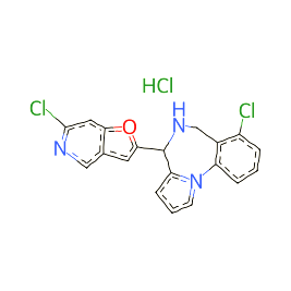 Cl.Clc1cc2oc(C3NCc4c(Cl)cccc4-n4cccc43)cc2cn1